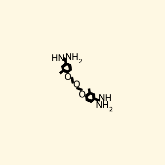 Cc1cc(C(=N)N)ccc1OCCOCCOc1ccc(C(=N)N)cc1C